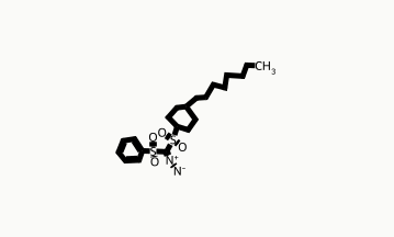 CCCCCCCCC1CCC(S(=O)(=O)C(=[N+]=[N-])S(=O)(=O)c2ccccc2)CC1